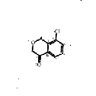 O=C1COCc2c(Cl)cccc21